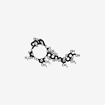 C=C1C2CC3O[C@H]4C[C@H]5O[C@](CC6C[C@@H](C)C[C@@]7(C[C@H](C)[C@@H]8OC(CO)[C@H](O)C[C@@H]8O7)O6)(OC)C[C@H]5O[C@H]4[C@H](C)[C@H]3OC(=O)CC3CC[C@@H]4O[C@@H]5C[C@@H](O[C@]6(CCC5O6)CC[C@H]5CC(=C)[C@H](CCC(C[C@H]1C)O2)O5)[C@H]4O3